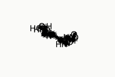 COC(=O)N[C@H](C(=O)N1CCC[C@H]1c1nc[nH]c1-c1ccc(C#Cc2ccc3[nH]c([C@@H]4CCCN4C(=O)[C@@H](NC(=O)O)C(C)C)nc3c2)cc1)C(C)C